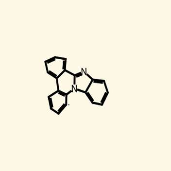 [c]1cccc2c3ccccc3c3nc4ccccc4n3c12